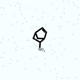 O=[N+]([O-])C1CC2C=CC1C2